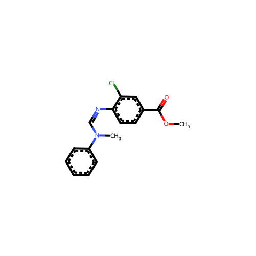 COC(=O)c1ccc(/N=C\N(C)c2ccccc2)c(Cl)c1